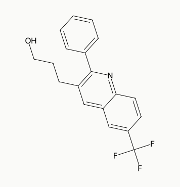 OCCCc1cc2cc(C(F)(F)F)ccc2nc1-c1ccccc1